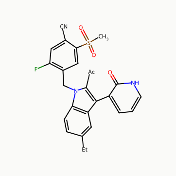 CCc1ccc2c(c1)c(-c1ccc[nH]c1=O)c(C(C)=O)n2Cc1cc(S(C)(=O)=O)c(C#N)cc1F